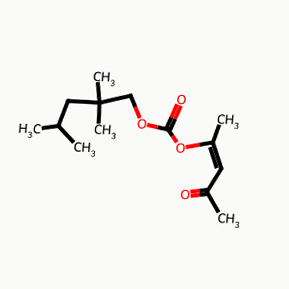 CC(=O)C=C(C)OC(=O)OCC(C)(C)CC(C)C